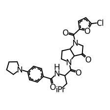 CC(C)CC(NC(=O)c1ccc(N2CCCC2)cc1)C(=O)N1CCC2C1C(=O)CN2C(=O)c1ccc(Cl)o1